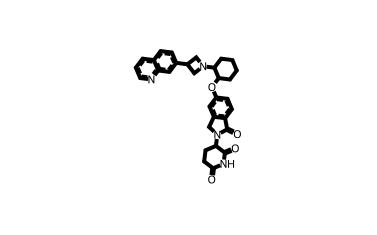 O=C1CCC(N2Cc3cc(OC4CCCCC4N4CC(c5ccc6cccnc6c5)C4)ccc3C2=O)C(=O)N1